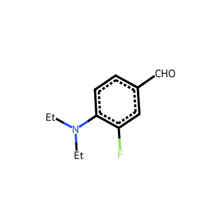 CCN(CC)c1ccc(C=O)cc1F